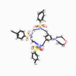 Cc1ccc(S(=O)(=O)N2CCN(S(=O)(=O)c3ccc(C)cc3)Cc3cc(cc(N4CCOCC4)c3)CN(S(=O)(=O)c3ccc(C)cc3)CC2)cc1